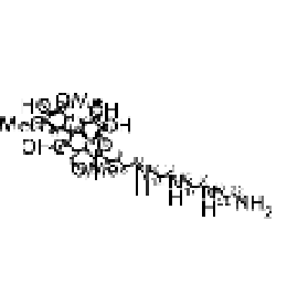 COC[C@@H]1[C@H](NC(=O)CCCCNCCCNCCCNCCCN)c2cc(O)c(O)cc2C(c2cc(OC)c(O)c(OC)c2)[C@H]1C=O